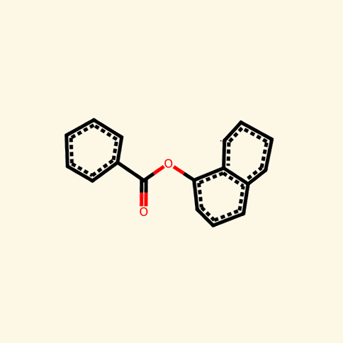 O=C(Oc1cccc2ccc[c]c12)c1ccccc1